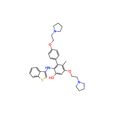 Cc1c(OCCN2CCCC2)cc(O)c(Nc2csc3ccccc23)c1-c1ccc(OCCN2CCCC2)cc1